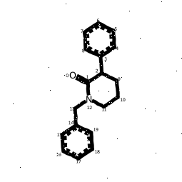 O=C1C(c2ccccc2)CCCN1Cc1ccccc1